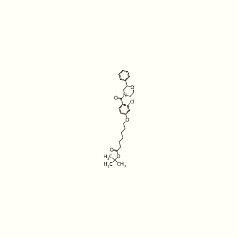 CC(C)(C)OC(=O)CCCCCCOc1ccc(C(=O)N2CCOC(c3ccccc3)C2)c(Cl)c1